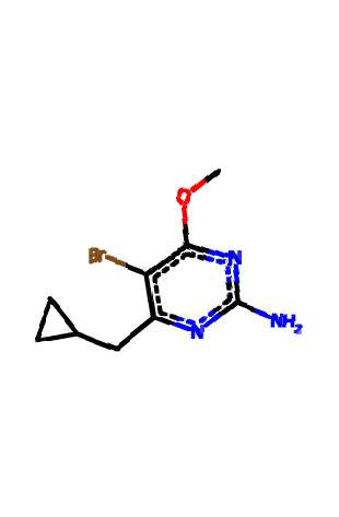 COc1nc(N)nc(CC2CC2)c1Br